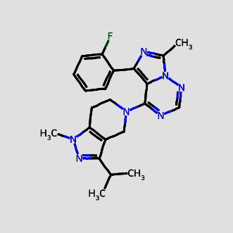 Cc1nc(-c2ccccc2F)c2c(N3CCc4c(c(C(C)C)nn4C)C3)ncnn12